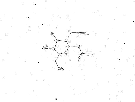 C=C(O[C@@H]1OC(COC(C)=O)[C@H](OC(C)=O)C(O)[C@@H]1N=[N+]=[N-])C(Cl)(Cl)Cl